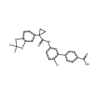 O=C(O)c1ccc(-c2nc(NC(=O)C3(c4ccc5c(c4)OC(F)(F)O5)CC3)ccc2Cl)cc1